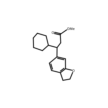 COC(=O)CC(c1ccc2c(c1)OCC2)C1CCCCC1